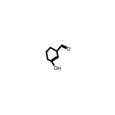 O=CC1C=C(O)CCC1